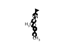 CN1CC=C(c2ccc3c(c2)CC(C)(C2CCN(c4ncc(C5CC5)cn4)CC2)O3)CC1